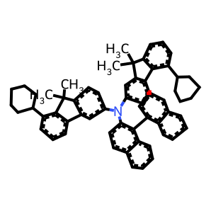 CC1(C)c2cc(N(c3ccc4c(c3)-c3cccc(C5CCCCC5)c3C4(C)C)c3ccc4ccccc4c3-c3cccc4ccccc34)ccc2-c2c(C3CCCCC3)cccc21